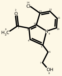 CC(=O)c1cc(CCO)n2cccc(Cl)c12